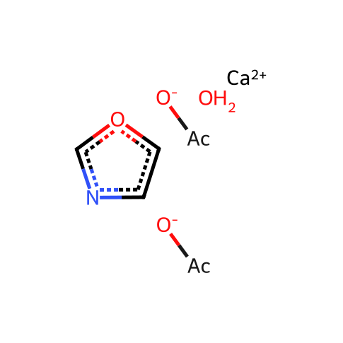 CC(=O)[O-].CC(=O)[O-].O.[Ca+2].c1cocn1